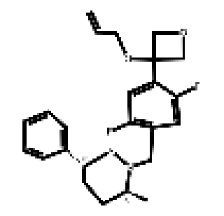 C=CCOC1(c2cc(F)c(CN3S[C@@H](c4ccccc4)CC[C@@H]3C)cc2F)COC1